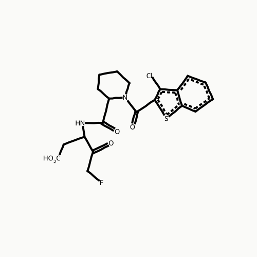 O=C(O)CC(NC(=O)C1CCCCN1C(=O)c1sc2ccccc2c1Cl)C(=O)CF